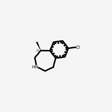 C[C@@H]1CNCCc2cc(Cl)ccc21